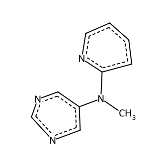 CN(c1cncnc1)c1ccccn1